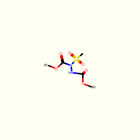 CC(C)OC(=O)NN(C(=O)OC(C)C)S(C)(=O)=O